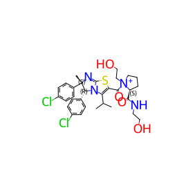 CC(C)C1=C(C(=O)[N+]2(CCO)CCC[C@H]2C(=O)NCCO)SC2=N[C@@](C)(c3ccc(Cl)cc3)[C@@H](c3ccc(Cl)cc3)N21